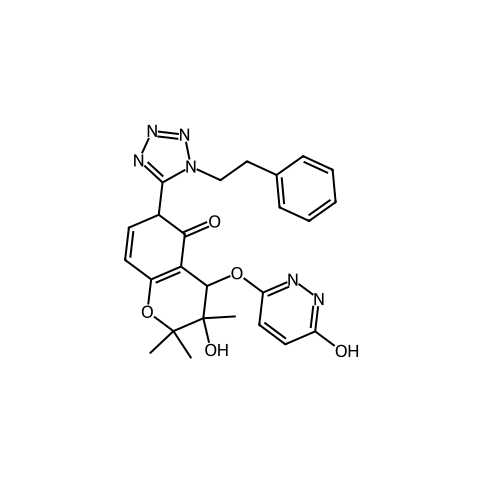 CC1(C)OC2=C(C(=O)C(c3nnnn3CCc3ccccc3)C=C2)C(Oc2ccc(O)nn2)C1(C)O